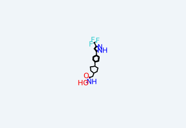 O=C(CC1CCC(c2ccc(-c3cc(C(F)(F)F)n[nH]3)cc2)CC1)NO